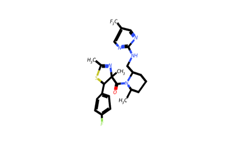 CC1=NC(C)(C(=O)N2C(C)CCCC2CNc2ncc(C(F)(F)F)cn2)C(c2ccc(F)cc2)S1